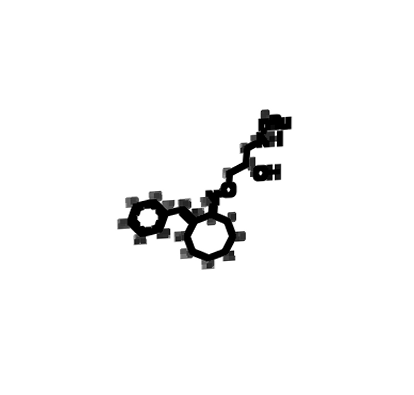 CCCCNC[C@H](O)CO/N=C1\CCCCCC\C1=C/c1ccccc1